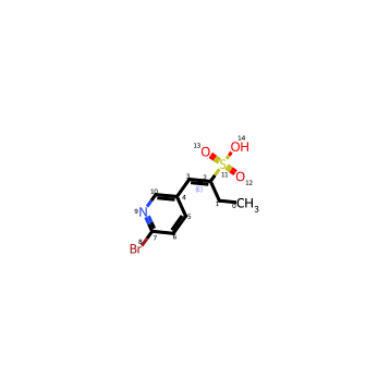 CC/C(=C\c1ccc(Br)nc1)S(=O)(=O)O